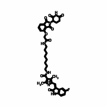 Cc1[nH]c(C=C2C(=O)Nc3ccc(F)cc32)c(C)c1C(=O)NCCCCCCCCNC(=O)COc1cccc2c1C(=O)N(C1CCC(=O)NC1=O)C2=O